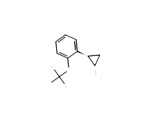 C[C@H]1C[C@@H]1c1ccccc1OC(F)(F)F